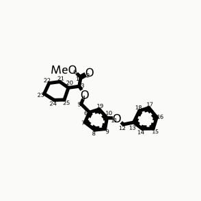 COC(=O)C(OCc1cccc(OCc2ccccc2)c1)C1CCCCC1